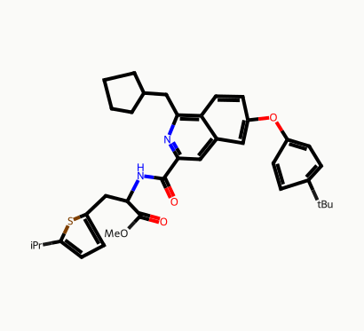 COC(=O)C(Cc1ccc(C(C)C)s1)NC(=O)c1cc2cc(Oc3ccc(C(C)(C)C)cc3)ccc2c(CC2CCCC2)n1